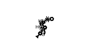 O=C1c2ccc(C3CC3)cc2OCCN1c1cccc(-c2ncnc3[nH]c(-c4cnn(C5CCCCC5)n4)cc23)c1CO